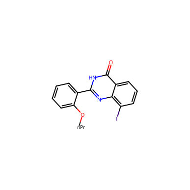 CCCOc1ccccc1-c1nc2c(I)cccc2c(=O)[nH]1